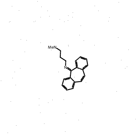 CNCCCN=c1c2ccccc2ccc2ccccc12